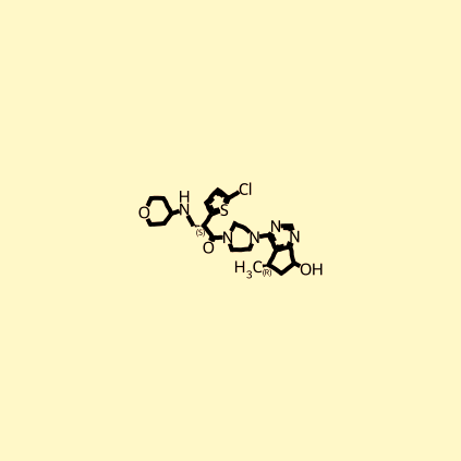 C[C@@H]1CC(O)c2ncnc(N3CCN(C(=O)[C@H](CNC4CCOCC4)c4ccc(Cl)s4)CC3)c21